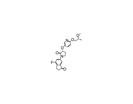 CO[C@@H](C)COc1ccc(O[C@@H]2CCN(c3cc(F)c4c(c3)C(=O)CC4)C2=O)cn1